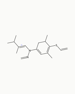 C=CSC1=C(C)C=C(N(/C=C(\C)C(C)C)N=C)CC1C